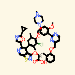 COc1ccccc1-c1nccc(COc2ccccc2C[C@@H](Oc2nsc3cnc(-c4cnc(C5CC5)o4)c(C4=C(C)C(Cl)=C(OCCN5CCN(C)CC5)C(C)C4)c23)C(=O)O)n1